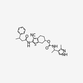 Cc1n[nH]cc1C(C)NC(=O)OC1CCc2c(sc(NC(=O)CC(C)c3ccccc3)c2C#N)C1